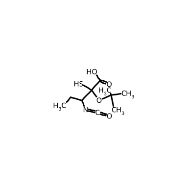 CCC(N=C=O)C(S)(OC(C)(C)C)C(=O)O